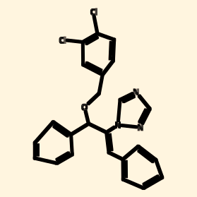 Clc1ccc(COC(C(=Cc2ccccc2)n2cncn2)c2ccccc2)cc1Cl